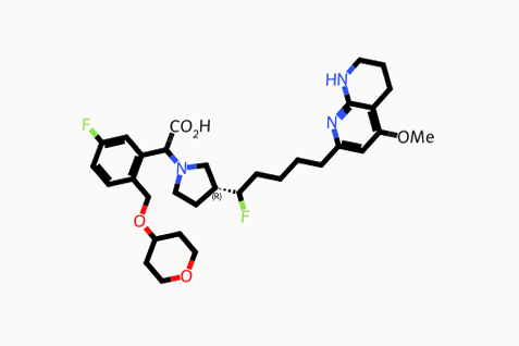 COc1cc(CCCCC(F)[C@@H]2CCN(C(C(=O)O)c3cc(F)ccc3COC3CCOCC3)C2)nc2c1CCCN2